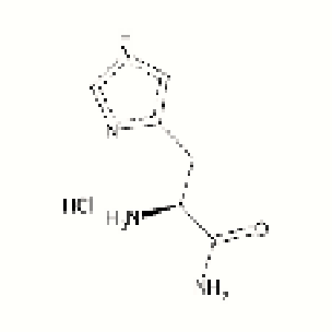 Cl.NC(=O)[C@@H](N)Cc1c[nH]cn1